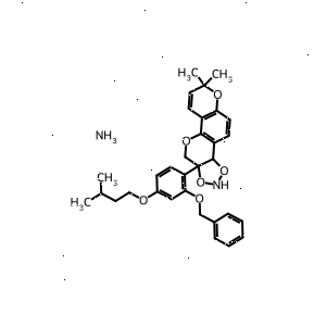 CC(C)CCOc1ccc(C23COc4c(ccc5c4C=CC(C)(C)O5)C2ONO3)c(OCc2ccccc2)c1.N